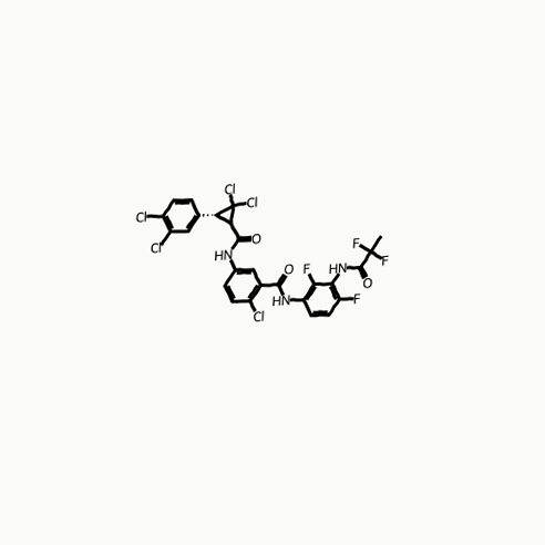 CC(F)(F)C(=O)Nc1c(F)ccc(NC(=O)c2cc(NC(=O)C3[C@H](c4ccc(Cl)c(Cl)c4)C3(Cl)Cl)ccc2Cl)c1F